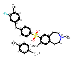 COc1cc2c(cc1S(=O)(=O)c1ccc(Cc3ccc(C)c(F)c3)cc1)CCN(C)CC2.Cc1ccc(S(=O)(=O)O)cc1